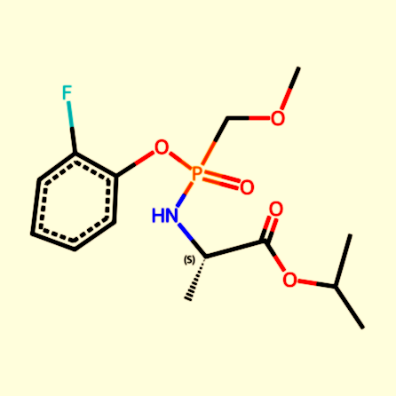 COCP(=O)(N[C@@H](C)C(=O)OC(C)C)Oc1ccccc1F